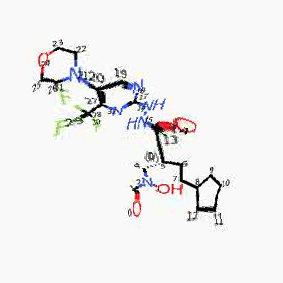 O=CN(O)C[C@@H](CCC1CCCC1)C(=O)NNc1ncc(N2CCOCC2)c(C(F)(F)F)n1